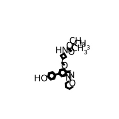 CC(C)(C)OC(=O)N[C@H]1C[C@@H](COc2cc(-c3ccc(O)cc3)cc3c2cnn3C2CCCCO2)C1